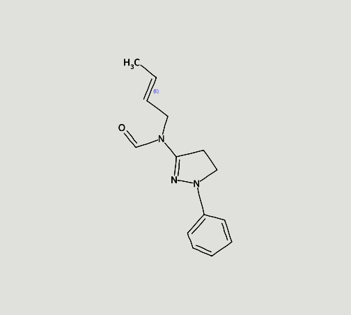 C/C=C/CN(C=O)C1=NN(c2ccccc2)CC1